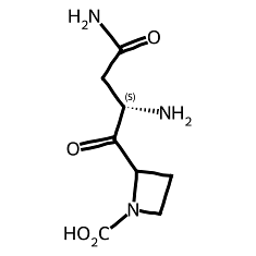 NC(=O)C[C@H](N)C(=O)C1CCN1C(=O)O